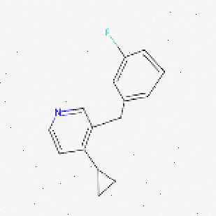 Fc1cccc(Cc2cnccc2C2CC2)c1